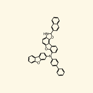 c1ccc(-c2ccc(N(c3ccc4c(c3)oc3ccccc34)c3cccc4c3oc3ccc5c(c34)OC(c3ccc4ccccc4c3)N5)cc2)cc1